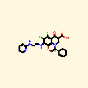 O=C(O)C1CN2C3=C(OC[C@@H]2C2C=CC=CC2)C(NCCNc2ccccn2)C(F)C(F)=C3C1=O